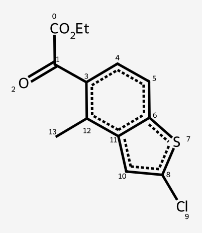 CCOC(=O)C(=O)c1ccc2sc(Cl)cc2c1C